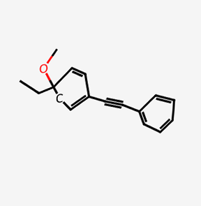 CCC1(OC)C=CC(C#Cc2ccccc2)=CC1